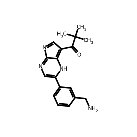 CC(C)(C)C(=O)c1cnc2ncc(-c3cccc(CN)c3)[nH]c1-2